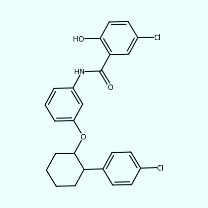 O=C(Nc1cccc(OC2CCCCC2c2ccc(Cl)cc2)c1)c1cc(Cl)ccc1O